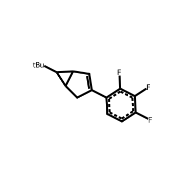 CC(C)(C)C1C2C=C(c3ccc(F)c(F)c3F)CC21